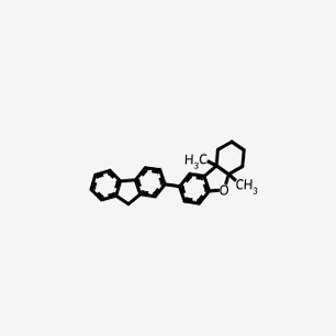 CC12CCCCC1(C)c1cc(-c3ccc4c(c3)Cc3ccccc3-4)ccc1O2